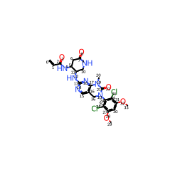 C=CC(=O)NC1CC(=O)NCC1Nc1ncc2c(n1)N(C)C(=O)N(c1c(Cl)c(OC)cc(OC)c1Cl)C2